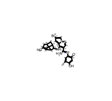 N/C(=N\c1cc(F)c(O)cc1Cl)c1cnn2cc(Br)cc2c1NC1C2CC3CC4(O)CC1C32C4